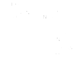 O=C(O)N1CCN(C(=O)C2CCN(C(=O)OCc3ccccc3)CC2)CC1